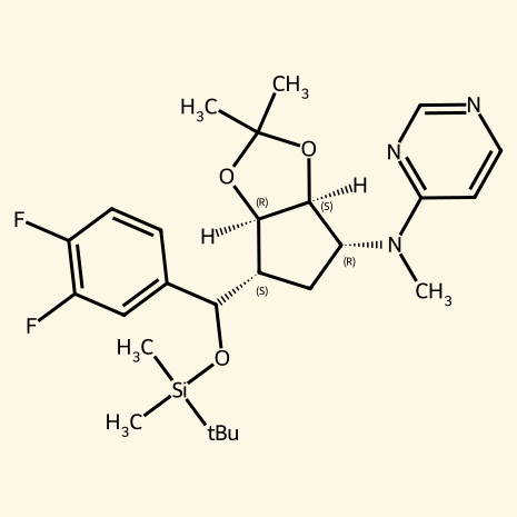 CN(c1ccncn1)[C@@H]1C[C@H](C(O[Si](C)(C)C(C)(C)C)c2ccc(F)c(F)c2)[C@H]2OC(C)(C)O[C@H]21